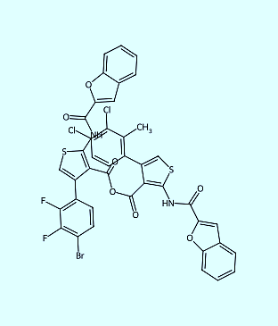 Cc1c(-c2csc(NC(=O)c3cc4ccccc4o3)c2C(=O)OC(=O)c2c(-c3ccc(Br)c(F)c3F)csc2NC(=O)c2cc3ccccc3o2)ccc(Cl)c1Cl